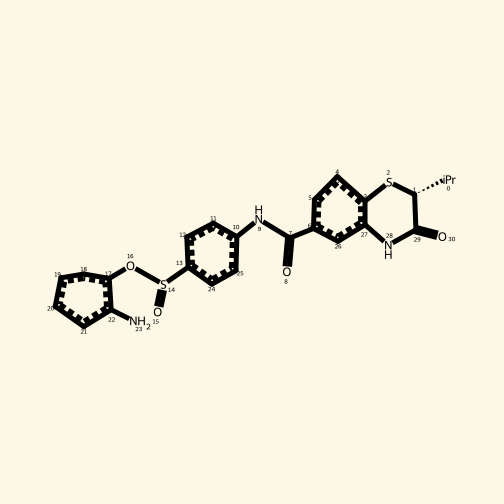 CC(C)[C@H]1Sc2ccc(C(=O)Nc3ccc(S(=O)Oc4ccccc4N)cc3)cc2NC1=O